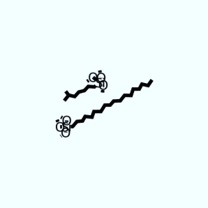 CCCCCCCCCCCCCCCCCC[Si](OC)(OC)OC.CO[Si](CCCCCC(C)C)(OC)OC